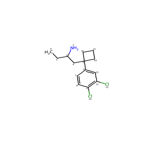 CCC(N)CC1(c2ccc(Cl)c(Cl)c2)CCC1